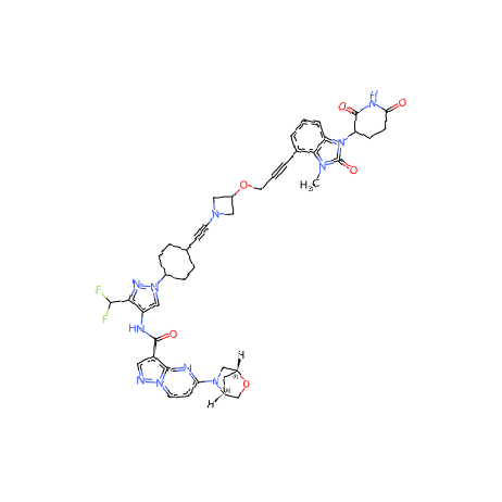 Cn1c(=O)n(C2CCC(=O)NC2=O)c2cccc(C#CCOC3CN(C#CC4CCC(n5cc(NC(=O)c6cnn7ccc(N8C[C@H]9C[C@@H]8CO9)nc67)c(C(F)F)n5)CC4)C3)c21